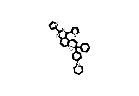 C1=CC(c2ccccc2)(c2ccc(N3CCCCC3)cc2)Oc2ccc3nc(-c4cccs4)nc(-c4cccs4)c3c21